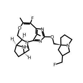 C/C1=C(\F)c2nc(OC[C@@]34CCCN3CC(CF)C4)nc(c2C)N2C[C@H]3CC[C@H](N3)[C@H]2CO1